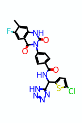 Cc1cc2[nH]c(=O)n(-c3ccc(C(=O)NC(c4nnn[nH]4)c4ccc(Cl)s4)cc3)c(=O)c2cc1F